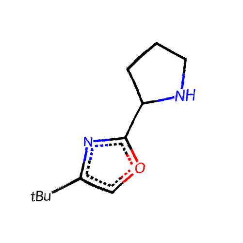 CC(C)(C)c1coc(C2CCCN2)n1